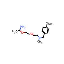 COc1ccc(CN(C)CCOCCOC(C)N)cc1